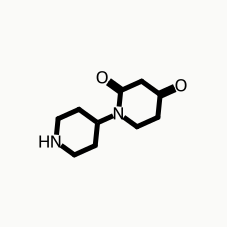 O=C1CCN(C2CCNCC2)C(=O)C1